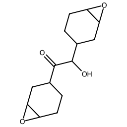 O=C(C1CCC2OC2C1)C(O)C1CCC2OC2C1